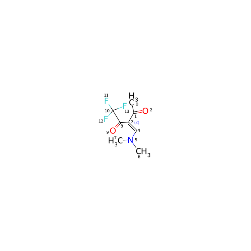 CC(=O)/C(=C/N(C)C)C(=O)C(F)(F)F